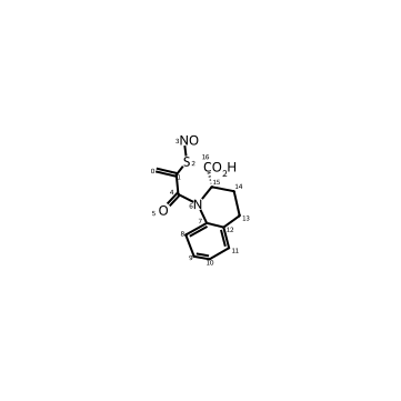 C=C(SN=O)C(=O)N1c2ccccc2CC[C@H]1C(=O)O